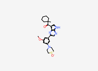 COc1cc(-c2cnc3[nH]cc(C(=O)C4(C)CCCCC4)c3n2)cc(N2CC[S+]([O-])CC2)c1